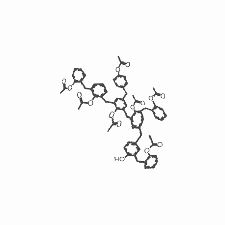 CC(=O)Oc1ccc(Cc2cc(Cc3cccc(Cc4ccccc4OC(C)=O)c3OC(C)=O)c(OC(C)=O)c(Cc3cc(Cc4ccc(O)c(Cc5ccccc5OC(C)=O)c4)cc(Cc4ccccc4OC(C)=O)c3OC(C)=O)c2)cc1